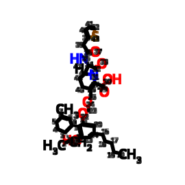 C=C(C)[C@@H]1CCC(C)=C[C@H]1c1c(O)cc(CCCCC)cc1OCOCC1=C(C(=O)O)N2C(=O)[C@@H](NC(=O)Cc3cccs3)[C@H]2CC1